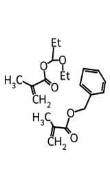 C=C(C)C(=O)OC(CC)OCC.C=C(C)C(=O)OCc1ccccc1